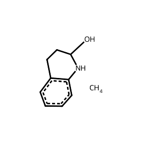 C.OC1CCc2ccccc2N1